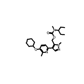 CCC(CC)N(C)C(=O)OCc1c(-c2ccc(OC3CCCCC3)c(C)n2)cnn1C